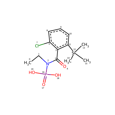 CCN(C(=O)c1c(Cl)cccc1[Si](C)(C)C)P(=O)(O)O